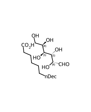 CCCCCCCCCCCCCCCC(=O)O.O=C[C@H](O)[C@@H](O)[C@@H](O)[C@H](O)CO